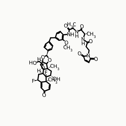 COc1cc(Cc2ccc([C@@H]3O[C@@H]4CC5[C@@H]6C[C@H](F)C7=CC(=O)C=C[C@]7(C)[C@@]6(F)[C@@H](O)C[C@]5(C)[C@]4(C(=O)CO)O3)cc2)ccc1NC(=O)[C@H](C)NC(=O)[C@H](C)NC(=O)CCN1C(=O)C=CC1=O